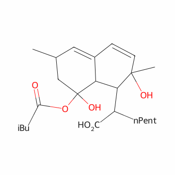 CCCCCC(C(=O)O)C1C2C(=CC(C)CC2(O)OC(=O)C(C)CC)C=CC1(C)O